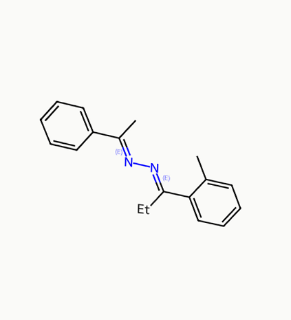 CC/C(=N\N=C(/C)c1ccccc1)c1ccccc1C